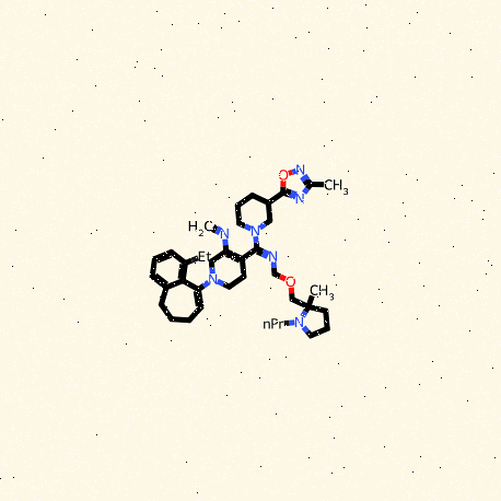 C=NC1=C(/C(=N\COCC2(C)CCCN2CCC)N2CCCC(c3nc(C)no3)C2)CCN(C2=CCCCc3cccc(CC)c32)C1